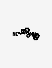 N#CCCc1cn2c(C(=O)NCC34CC5CC(CC(C5)C3)C4)cccc2n1